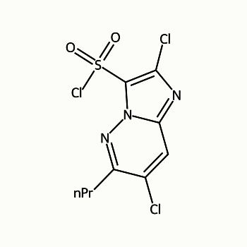 CCCc1nn2c(S(=O)(=O)Cl)c(Cl)nc2cc1Cl